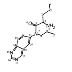 CCCC(N)C(=O)N(CCC)c1ccc2ncncc2c1